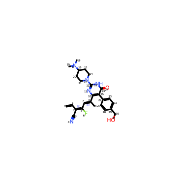 C=C/C(C#N)=C(F)\C=C(/C)c1nc(N2CCC(N(C)C)CC2)[nH]c(=O)c1-c1ccc(CO)cc1